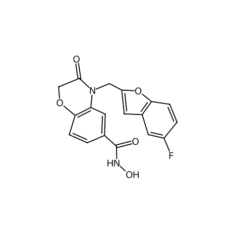 O=C(NO)c1ccc2c(c1)N(Cc1cc3cc(F)ccc3o1)C(=O)CO2